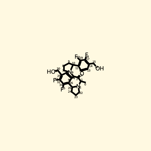 CC(C(=O)C(C)N1CCCC1c1ccc(CO)c(F)c1F)N1CCCC1c1ccc(CO)c(F)c1F